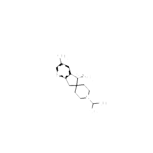 Cc1cnc2c(c1)[C@@H](N)C1(CCN(C(C)C)CC1)C2